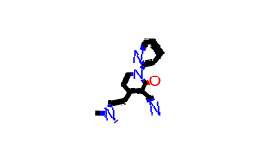 CN(C)/C=C/c1ccn(-c2ccccn2)c(=O)c1C#N